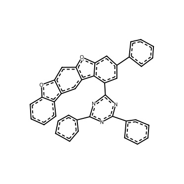 c1ccc(-c2cc(-c3nc(-c4ccccc4)nc(-c4ccccc4)n3)c3c(c2)oc2cc4oc5ccccc5c4cc23)cc1